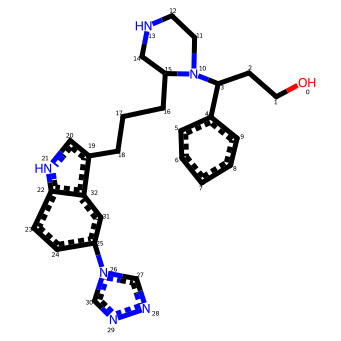 OCCC(c1ccccc1)N1CCNCC1CCCc1c[nH]c2ccc(-n3cnnc3)cc12